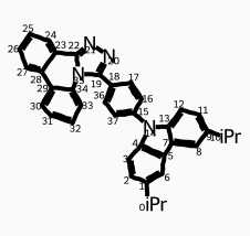 CC(C)c1ccc2c(c1)c1cc(C(C)C)ccc1n2-c1ccc(-c2nnc3c4ccccc4c4ccccc4n23)cc1